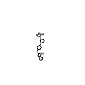 c1cc(-c2ccc(Cc3nc4ccccc4[nH]3)cc2)cc(-c2nnn[nH]2)c1